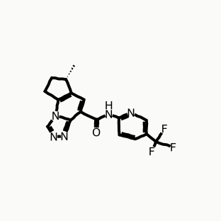 C[C@H]1CCc2c1cc(C(=O)Nc1ccc(C(F)(F)F)cn1)c1nncn21